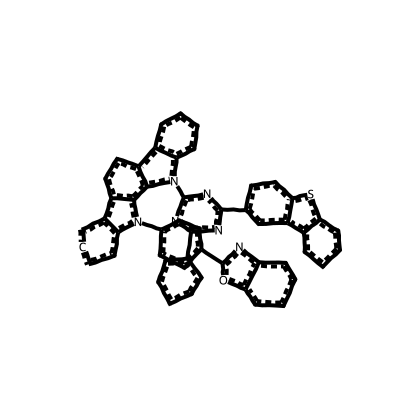 c1ccc(-c2nc(-c3ccc4sc5ccccc5c4c3)nc(-n3c4ccccc4c4ccc5c6ccccc6n(-c6ccc(-c7nc8ccccc8o7)cc6)c5c43)n2)cc1